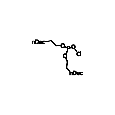 CCCCCCCCCCCCOP(OCl)OCCCCCCCCCCCC